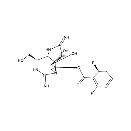 N=C1NC2[C@H](CO)NC(=N)N3C[C@H](OC(=O)C4=C(F)C=CC[C@@H]4F)C(O)(O)[C@]23N1